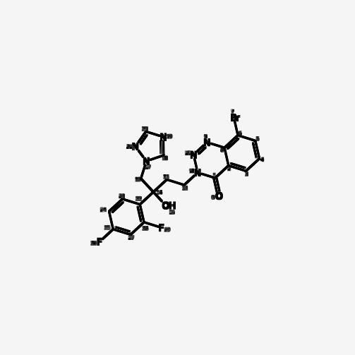 O=c1c2cccc(Br)c2nnn1CCC(O)(Cn1cncn1)c1ccc(F)cc1F